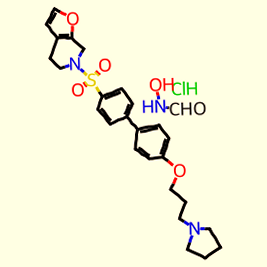 Cl.O=CNO.O=S(=O)(c1ccc(-c2ccc(OCCCN3CCCC3)cc2)cc1)N1CCc2ccoc2C1